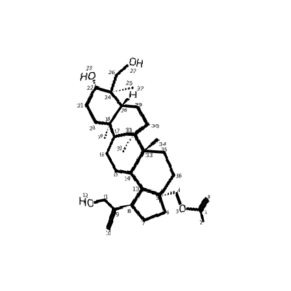 C=C(C)OC[C@]12CC[C@@H](C(=C)CO)C1C1CCC3[C@@]4(C)CC[C@H](O)[C@@](C)(CO)[C@@H]4CC[C@@]3(C)[C@]1(C)CC2